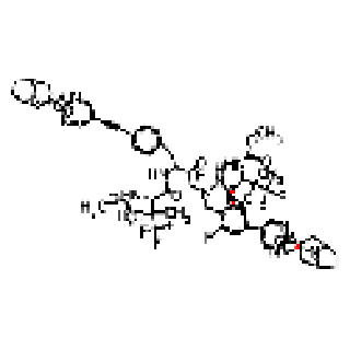 COC(=O)N[C@H](C(=O)N[C@@H](Cc1ccc(C#Cc2cnc(N3CC4CCC(C3)N4C3COC3)nc2)cc1)[C@@H](O)CN(Cc1c(F)cc(-c2cnc(N3CC4CCC(C3)N4C3COC3)nc2)cc1F)NC(=O)[C@@H](NC(=O)OC)C(C)(C)C(F)(F)F)C(C)(C)C(F)(F)F